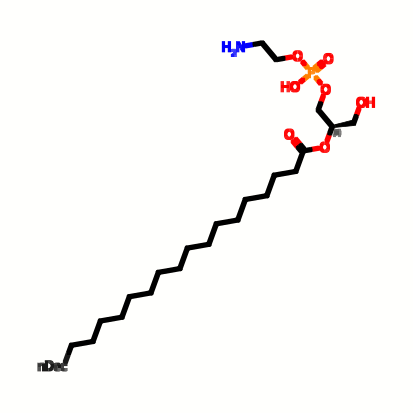 CCCCCCCCCCCCCCCCCCCCCCCCCCC(=O)O[C@H](CO)COP(=O)(O)OCCN